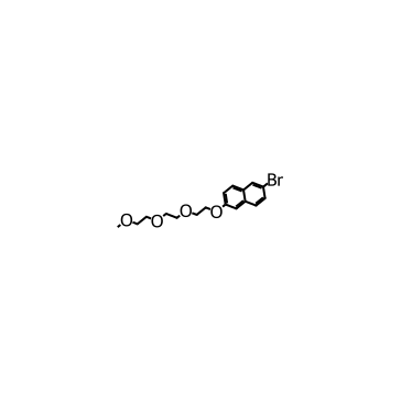 COCCOCCOCCOc1ccc2cc(Br)ccc2c1